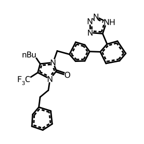 CCCCc1c(C(F)(F)F)n(CCc2ccccc2)c(=O)n1Cc1ccc(-c2ccccc2-c2nnn[nH]2)cc1